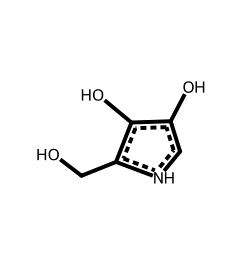 OCc1[nH]cc(O)c1O